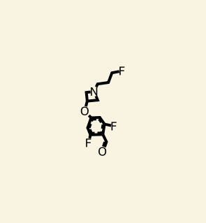 O=Cc1c(F)cc(OC2CN(CCCF)C2)cc1F